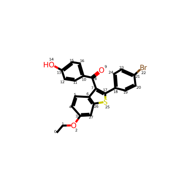 CCOc1ccc2c(C(=O)c3ccc(O)cc3)c(-c3ccc(Br)cc3)sc2c1